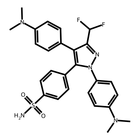 CN(C)c1ccc(-c2c(C(F)F)nn(-c3ccc(N(C)C)cc3)c2-c2ccc(S(N)(=O)=O)cc2)cc1